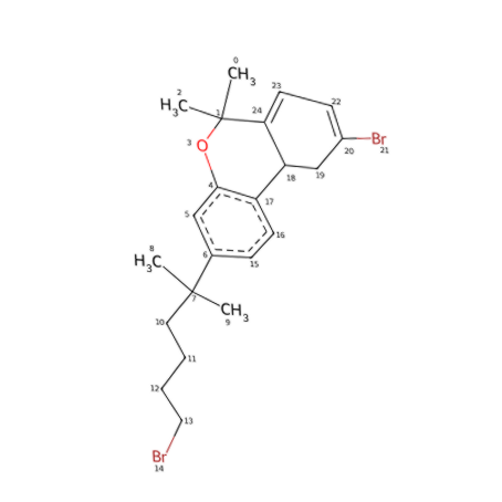 CC1(C)Oc2cc(C(C)(C)CCCCBr)ccc2C2CC(Br)=CC=C21